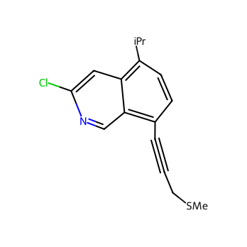 CSCC#Cc1ccc(C(C)C)c2cc(Cl)ncc12